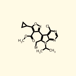 COC(=O)c1c(-c2c(CBr)n(C(C)C)c3ncnc(Cl)c23)noc1C1CC1